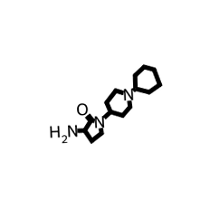 NC1CCN(C2CCN(C3CCCCC3)CC2)C1=O